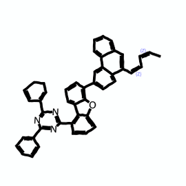 C/C=C\C=C/c1cc2ccccc2c2cc(-c3cccc4c3oc3cccc(-c5nc(C6=CCCC=C6)nc(-c6ccccc6)n5)c34)ccc12